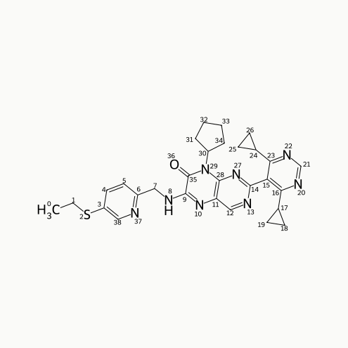 CCSc1ccc(CNc2nc3cnc(-c4c(C5CC5)ncnc4C4CC4)nc3n(C3CCCC3)c2=O)nc1